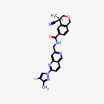 Cc1nn(-c2ccc3cnc(CNC(=O)c4ccc5c(c4)[C@](C)(C#N)COC5)cc3n2)cc1F